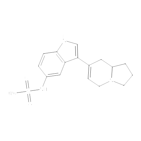 CC(C)(C)S(=O)(=O)Nc1ccc2[nH]cc(C3=CCN4CCCC4C3)c2c1